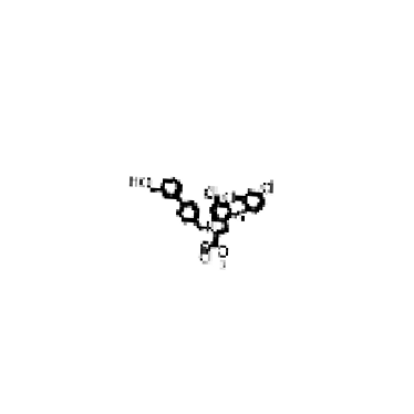 COC(=O)c1cc2c(Sc3ccc(Cl)cc3Cl)cc(Cl)cc2n1Cc1ccc(-c2cccc(CO)c2)cc1